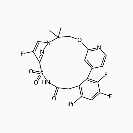 CC(C)c1cc(F)c(F)c2c1CC(=O)NS(=O)(=O)c1nn(cc1F)C(C)(C)COc1cc-2ccn1